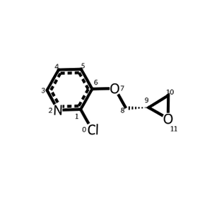 Clc1ncccc1OC[C@@H]1CO1